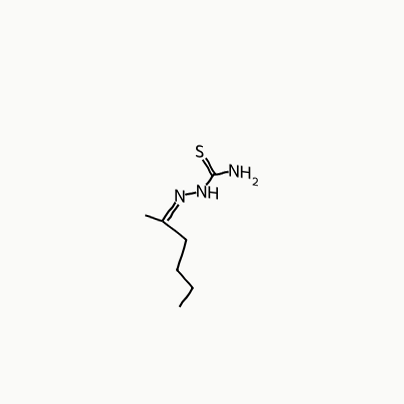 CCCC/C(C)=N\NC(N)=S